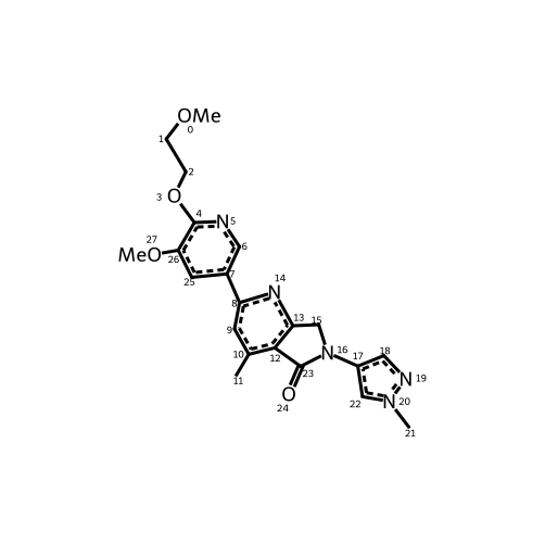 COCCOc1ncc(-c2cc(C)c3c(n2)CN(c2cnn(C)c2)C3=O)cc1OC